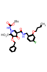 C=CCCOc1cc(F)ccc1CNC(=O)c1cn(NC(=O)OC(C)(C)C)c(C(=O)O)c(OCc2ccccc2)c1=O